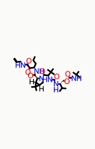 C=CCNC(=O)C(=O)C(CCC)NC(=O)[C@@H]1[C@@H]2[C@H](CN1C(=O)[C@@H](NC(=O)N[C@H](COC(=O)NC(C)(C)C)C(C)C)C(C)(C)C)C2(C)C